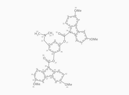 COc1ccc2c(c1)c1cc(OC)ccc1n2C(=O)Oc1cc(CN(C)C)cc(OC(=O)n2c3ccc(OC)cc3c3cc(OC)ccc32)c1